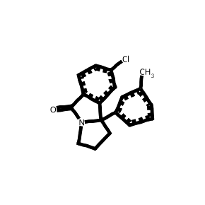 Cc1cccc(C23CCCN2C(=O)c2ccc(Cl)cc23)c1